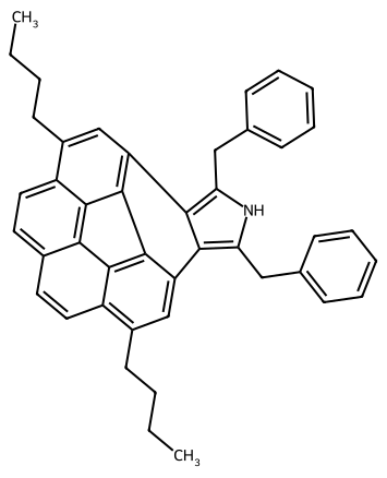 CCCCc1cc2c3c(Cc4ccccc4)[nH]c(Cc4ccccc4)c3c3cc(CCCC)c4ccc5ccc1c1c5c4c3c21